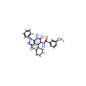 Cc1cccc(C(=O)N[C@@H]2C(=O)Nc3c(c(C)nn3-c3ccccc3)C2C2CCCCC2)c1